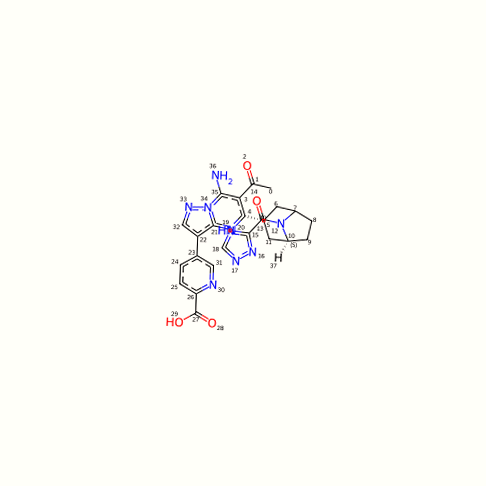 CC(=O)c1c([C@@H]2CC3CC[C@@H](C2)N3C(=O)c2nnc[nH]2)nc2c(-c3ccc(C(=O)O)nc3)cnn2c1N